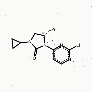 CC(C)[C@H]1CN(C2CC2)C(=O)N1c1ccnc(Cl)n1